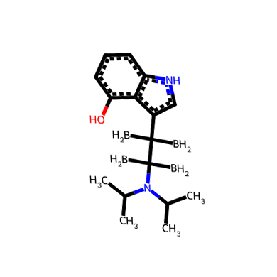 BC(B)(c1c[nH]c2cccc(O)c12)C(B)(B)N(C(C)C)C(C)C